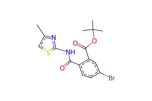 Cc1csc(NC(=O)c2ccc(Br)cc2C(=O)OC(C)(C)C)n1